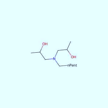 CCCCCCN(CC(C)O)CC(C)O